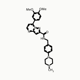 COc1ccc(-c2ccnc3cc(C(=O)NCc4ccc(N5CCN(C)CC5)cc4)nn23)cc1OC